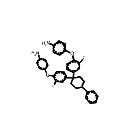 Nc1ccc(Oc2ccc(C3(c4ccc(Oc5ccc(N)cc5)c(F)c4)CCC(c4ccccc4)CC3)cc2F)cc1